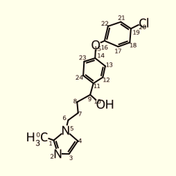 Cc1nccn1CCCC(O)c1ccc(Oc2ccc(Cl)cc2)cc1